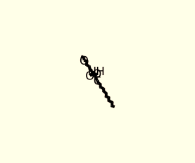 CCCCCCCCCCCCCCC(=O)C(=O)NCCCCOCC